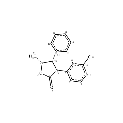 C[C@H]1OC(=O)N(c2ccnc(Cl)n2)[C@H]1c1ccccc1